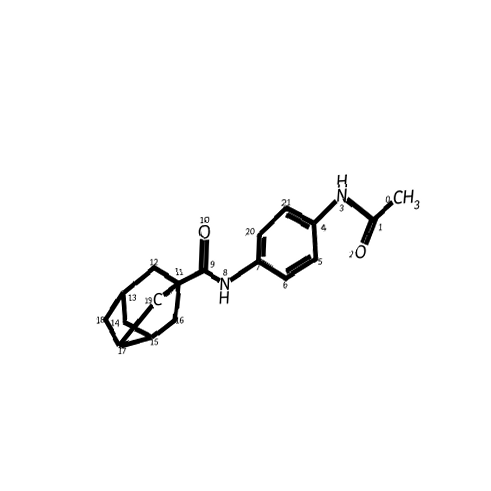 CC(=O)Nc1ccc(NC(=O)C23CC4CC(C2)C(C4)C3)cc1